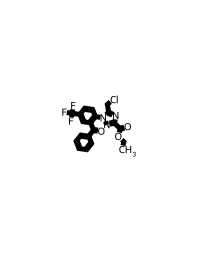 CCOC(=O)c1nc(CCl)n(-c2ccc(C(F)(F)F)cc2C(=O)c2ccccc2)n1